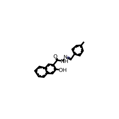 Cc1ccc(/C=N/NC(=O)c2cc3ccccc3cc2O)cc1